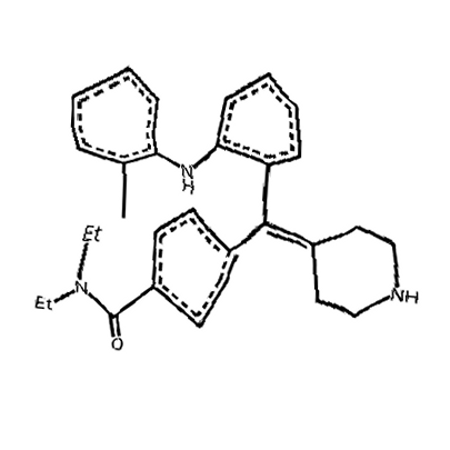 CCN(CC)C(=O)c1ccc(C(=C2CCNCC2)c2ccccc2Nc2ccccc2C)cc1